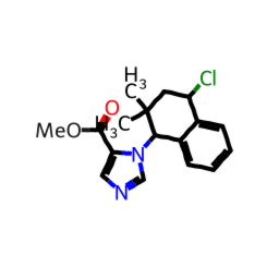 COC(=O)c1cncn1C1c2ccccc2C(Cl)CC1(C)C